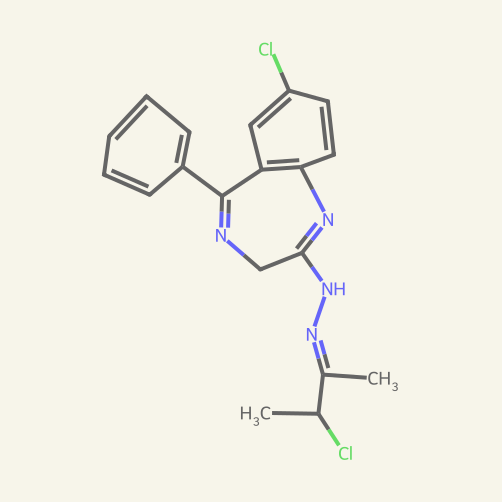 C/C(=N\NC1=Nc2ccc(Cl)cc2C(c2ccccc2)=NC1)C(C)Cl